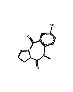 CN1C(=O)C2CCCN2C(=O)c2cc([N+](=O)[O-])ccc21